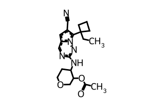 CCC1(c2c(C#N)cc3cnc(NC4CCOCC4OC(C)=O)nn23)CCC1